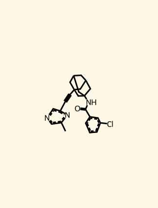 Cc1cncc(C#CC23CC4CC(C2)CC(NC(=O)c2cccc(Cl)c2)(C4)C3)n1